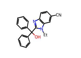 CCn1c(C(O)(c2ccccc2)c2ccccc2)nc2ccc(C#N)cc21